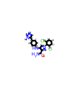 Cn1nncc1-c1ccc(Nc2cn(-c3c(Cl)cccc3Cl)nc2C(N)=O)cc1